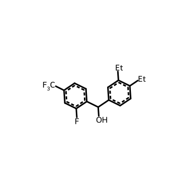 CCc1ccc(C(O)c2ccc(C(F)(F)F)cc2F)cc1CC